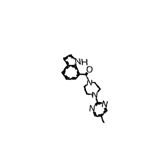 Cc1cnc(N2CCN(C(=O)c3cccc4cc[nH]c34)CC2)nc1